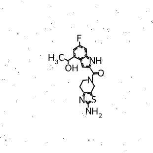 CC(O)c1cc(F)cc2[nH]c(C(=O)N3CCc4nc(N)sc4C3)cc12